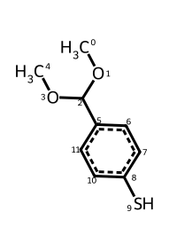 COC(OC)c1ccc(S)cc1